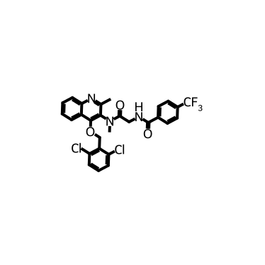 Cc1nc2ccccc2c(OCc2c(Cl)cccc2Cl)c1N(C)C(=O)CNC(=O)c1ccc(C(F)(F)F)cc1